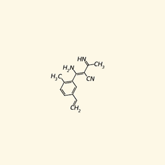 C=Cc1ccc(C)c(/C(N)=C(\C#N)C(C)=N)c1